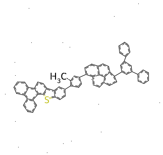 Cc1cc(-c2ccc3ccc4c(-c5cc(-c6ccccc6)cc(-c6ccccc6)c5)ccc5ccc2c3c54)ccc1-c1ccc2sc3c(ccc4c5ccccc5c5ccccc5c43)c2c1